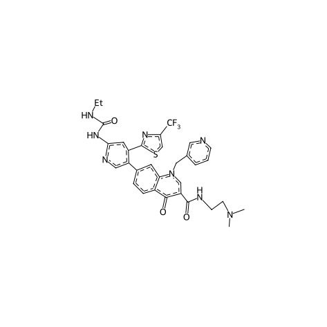 CCNC(=O)Nc1cc(-c2nc(C(F)(F)F)cs2)c(-c2ccc3c(=O)c(C(=O)NCCN(C)C)cn(Cc4cccnc4)c3c2)cn1